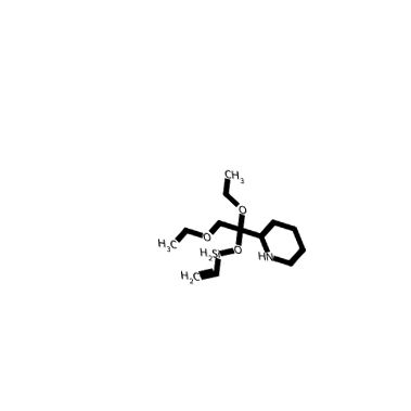 C=C[SiH2]OC(COCC)(OCC)C1CCCCN1